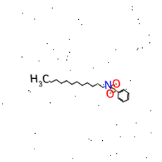 CCCCCCCCCCCC[N]S(=O)(=O)c1ccccc1